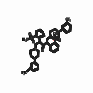 CS(=O)(=O)c1ccccc1C(CN1CCN(c2cccc(C(F)(F)F)c2)CC1)C(=O)C(CN1CCN(c2cccc(C(F)(F)F)c2)CC1)c1ccccc1S(C)(=O)=O